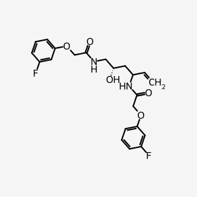 C=CC(C[C@H](O)CNC(=O)COc1cccc(F)c1)NC(=O)COc1cccc(F)c1